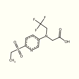 CCS(=O)(=O)c1ccc(N(CC(=O)O)CC(F)(F)F)cn1